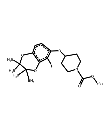 BC1(B)Oc2ccc(OC3CCN(C(=O)OC(C)(C)C)CC3)c(F)c2OC1(B)B